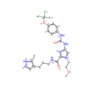 COCCn1cc(NC(=O)Nc2ccc(OC(F)(F)F)cc2)nc1C(=O)NCCCc1cn[nH]c1C